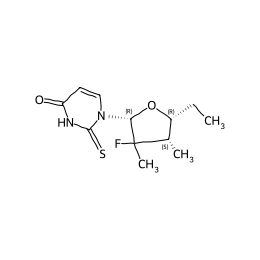 CC[C@H]1O[C@@H](n2ccc(=O)[nH]c2=S)C(C)(F)[C@H]1C